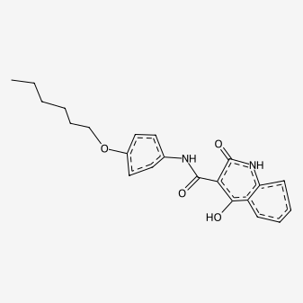 CCCCCCOc1ccc(NC(=O)c2c(O)c3ccccc3[nH]c2=O)cc1